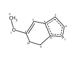 COC1=Cc2ccsc2CC1